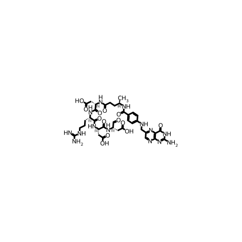 C[C@H](CCC(=O)N[C@@H](CC(=O)O)C(=O)N[C@@H](CCCNC(=N)N)C(=O)N[C@@H](CC(=O)O)C(=O)N[C@H](C=O)CC(=O)O)NC(=O)c1ccc(NCc2cnc3nc(N)[nH]c(=O)c3n2)cc1